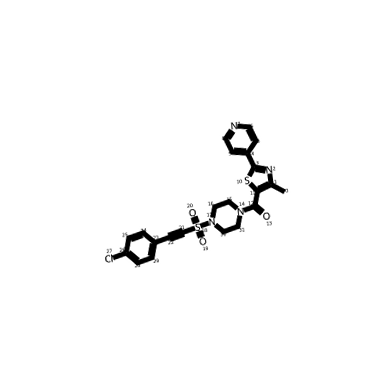 Cc1nc(-c2ccncc2)sc1C(=O)N1CCN(S(=O)(=O)C#Cc2ccc(Cl)cc2)CC1